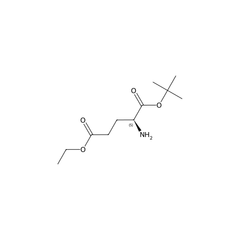 CCOC(=O)CC[C@H](N)C(=O)OC(C)(C)C